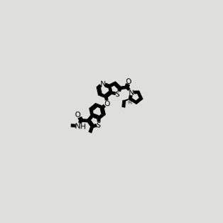 CC[C@@H]1CCCN1C(=O)c1cc2nccc(Oc3ccc4c(C(=O)NC)c(C)sc4c3)c2s1